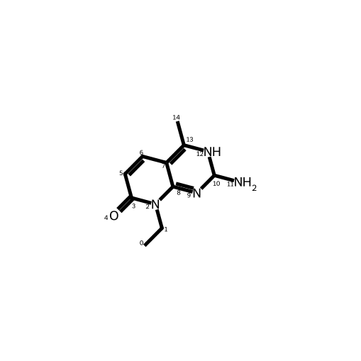 CCn1c(=O)ccc2c1=NC(N)NC=2C